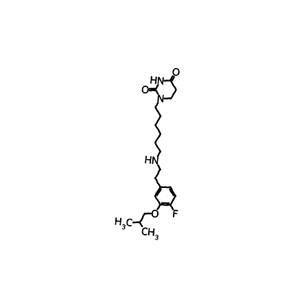 CC(C)COc1cc(CCNCCCCCCN2CCC(=O)NC2=O)ccc1F